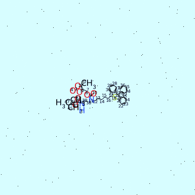 Cc1oc(=O)oc1COC(=O)N(CCCCCCSC(c1ccccc1)(c1ccccc1)c1ccccc1)CCNC(=O)OC(C)(C)C